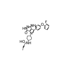 CC#CC(O)N[C@H]1CC[C@@H](n2cc(-c3ccc(Oc4ccccc4F)cc3)c3c(N)n[nH]c(=O)c32)CC1